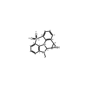 CN1c2cccc3c2N2c4c(cccc4S3(=O)=O)C3NC3C12